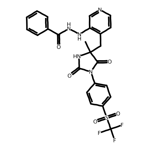 CC1(Cc2ccncc2NNC(=O)c2ccccc2)NC(=O)N(c2ccc(S(=O)(=O)C(F)(F)F)cc2)C1=O